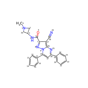 CN1CC(NC(=O)c2nn3c(-c4ccccc4)cc(-c4ccccc4)nc3c2C#N)C1